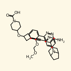 COCOc1ccccc1-c1cc(N2CC3CCC(C2)N3c2ccnc(C#CC3CC(OC4CCN(C(=O)O)CC4)C3)c2)c(N)nn1